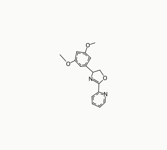 COc1cc(OC)cc(C2COC(c3ccccn3)=N2)c1